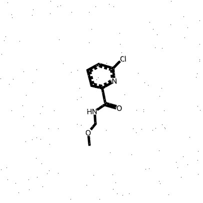 COCNC(=O)c1cccc(Cl)n1